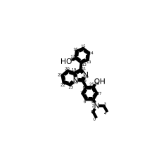 CCN(CC)c1ccc(-c2nc(-c3ccccc3O)c3ccccn23)c(O)c1